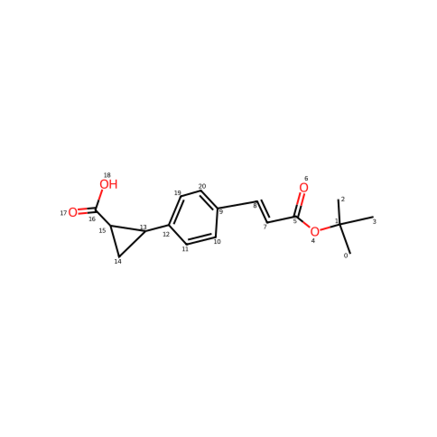 CC(C)(C)OC(=O)/C=C/c1ccc(C2CC2C(=O)O)cc1